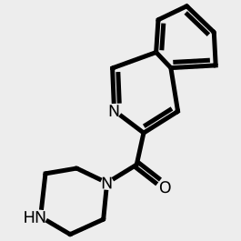 O=C(c1cc2ccccc2cn1)N1CCNCC1